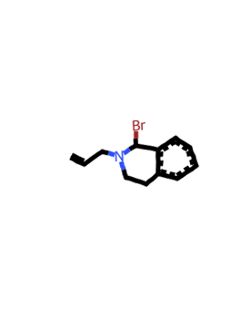 C=CCN1CCc2ccccc2C1Br